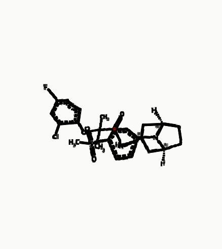 CC(C)(Oc1ccc(F)cc1Cl)C(=O)N[C@H]1C[C@H]2CC[C@@H](C1)N2c1ccc(S(C)(=O)=O)cc1